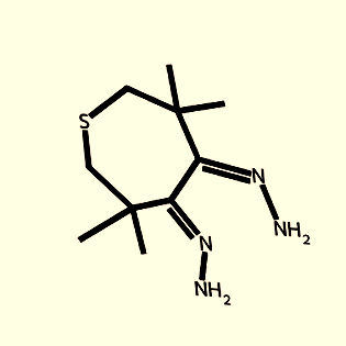 CC1(C)CSCC(C)(C)C(=N\N)/C1=N\N